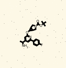 CC(N)c1cc(OC2C3CN(C(=O)OC(C)(C)C)CC32)nc(-c2ccc(F)cc2)c1